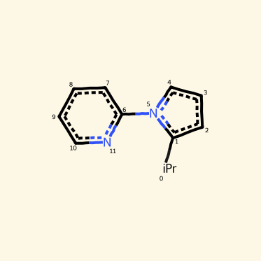 CC(C)c1cccn1-c1ccccn1